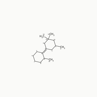 CC1CC(=C2CCC[C]C2C)CC(C)(C)C1